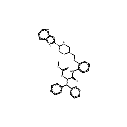 COC(=O)NC(C(=O)Nc1ccccc1CC[C@@H]1CN[C@H](c2nc3nccnc3[nH]2)CO1)C(c1ccccc1)c1ccccc1